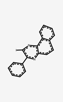 Ic1nc2c(ccc3ccccc32)nc1-c1ccccc1